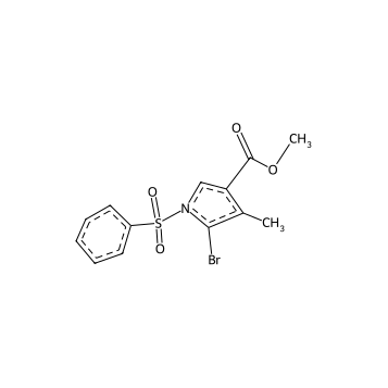 COC(=O)c1cn(S(=O)(=O)c2ccccc2)c(Br)c1C